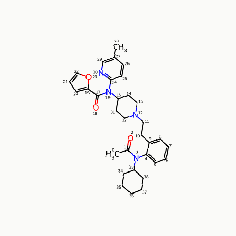 CC(=O)N(c1ccccc1CCN1CCC(N(C(=O)c2ccco2)c2ccc(C)cn2)CC1)C1CCCCC1